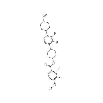 C=CC1CCC(c2ccc(C3CCC(OC(=O)c4ccc(OCC)c(F)c4F)CC3)c(F)c2F)CC1